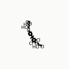 CC(C)(c1ccc(OC[C@@H](O)CNS(C)(=O)=O)cc1)c1cc(Cl)c(OC[C@H](O)CCl)c(Cl)c1